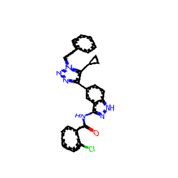 O=C(Nc1n[nH]c2ccc(-c3nnn(Cc4ccccc4)c3C3CC3)cc12)c1ccccc1Cl